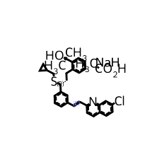 CC(=O)O.CC(C)(O)c1ccccc1CC[C@@H](SCC1CC1)c1cccc(/C=C/c2ccc3ccc(Cl)cc3n2)c1.[NaH]